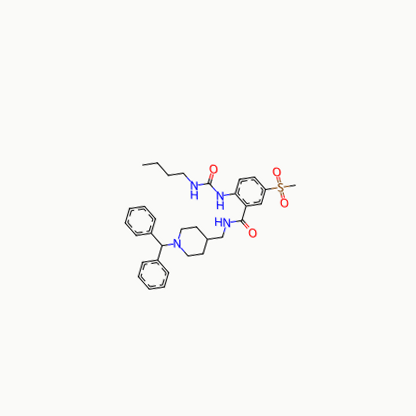 CCCCNC(=O)Nc1ccc(S(C)(=O)=O)cc1C(=O)NCC1CCN(C(c2ccccc2)c2ccccc2)CC1